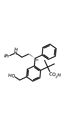 CC(C)NCC[C@H](c1ccccc1)c1cc(CO)ccc1C(C)(C)C(=O)O